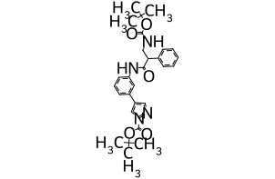 CC(C)(C)OC(=O)NCC(C(=O)Nc1cccc(-c2cnn(C(=O)OC(C)(C)C)c2)c1)c1ccccc1